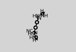 N#Cc1[nH]c([C@@H]2CC3C[C@H]3N2)nc1-c1ccc(-c2ccc(-c3c[nH]c([C@@H]4C[C@H]5CC5N4)n3)cc2)cc1